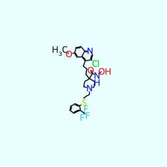 COc1ccc2ncc(Cl)c(CCCC3(C(=O)NO)CCN(CCSc4ccccc4C(F)(F)F)CC3)c2c1